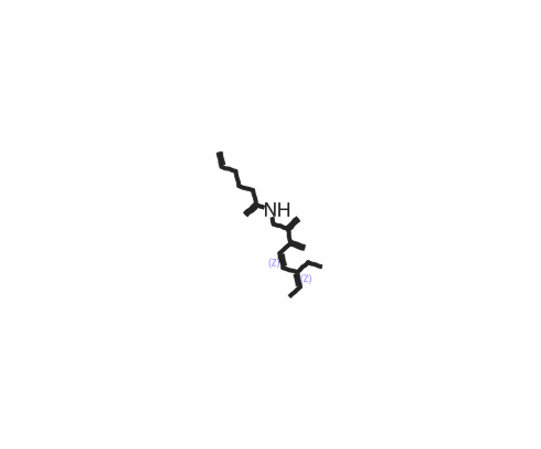 C=CCCCC(=C)NCC(=C)C(=C)/C=C\C(=C/C)CC